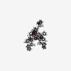 Cc1ccc(S(=O)(=O)N[C@@H](CCCCNc2nsc3nccn23)C(=O)N2CCN(Cc3ccccc3)CC2N(C(=O)[C@H](CCCCNc2nsc3nccn23)NS(=O)(=O)c2ccc(C)cc2)C2CN(Cc3ccccc3)CCN2C(=O)[C@H](CCCCNc2nsc3nccn23)NS(=O)(=O)c2ccc(C)cc2)cc1